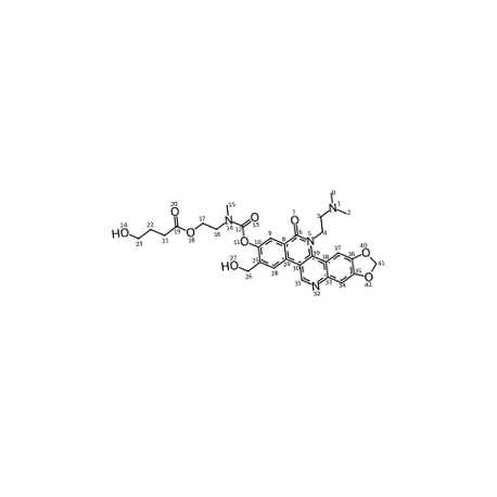 CN(C)CCn1c(=O)c2cc(OC(=O)N(C)CCOC(=O)CCCO)c(CO)cc2c2cnc3cc4c(cc3c21)OCO4